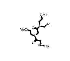 CCCCNCC(=O)N(CCOC)CC(=O)N(CCOC)CC(C)=O